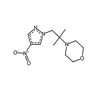 CC(C)(Cn1cc([N+](=O)[O-])cn1)N1CCOCC1